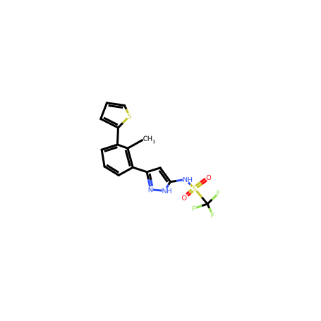 Cc1c(-c2cc(NS(=O)(=O)C(F)(F)F)[nH]n2)cccc1-c1cccs1